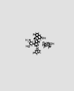 C#Cc1c(F)ccc2cc(O)cc(-c3ncc4c(N5C[C@@H](N)C[C@@H](O)C5)nc(OC[C@@]56CCCN5C[C@H](F)C6)nc4c3F)c12.O=C(O)C(F)(F)F.O=C(O)C(F)(F)F